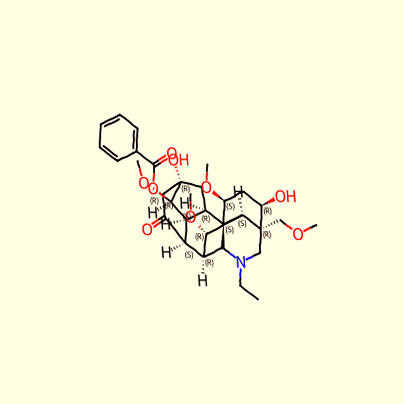 CCN1C[C@]2(COC)[C@H](O)C[C@H](OC)[C@]34C1[C@H]([C@H](OC)[C@H]23)[C@H]1C(=O)[C@H](OC)[C@@]2(O)C[C@@H]4[C@@H]1[C@H]2OC(=O)c1ccccc1